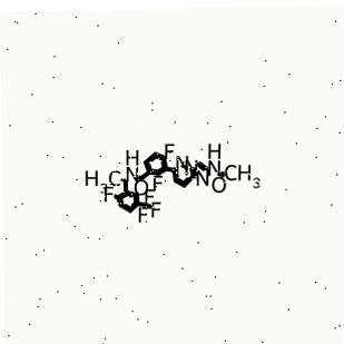 CC(=O)Nc1cn2nc(-c3c(F)ccc(C(=O)N[C@H](C)c4cc(C(F)(F)F)ccc4F)c3F)ccc2n1